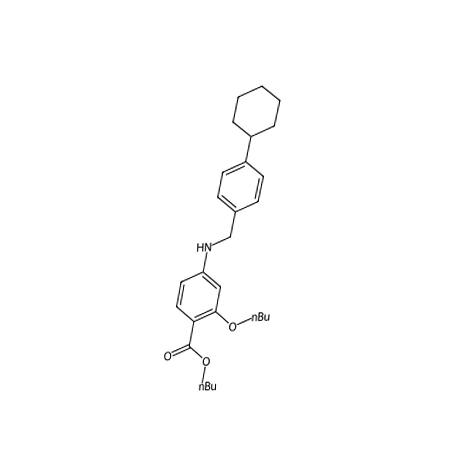 CCCCOC(=O)c1ccc(NCc2ccc(C3CCCCC3)cc2)cc1OCCCC